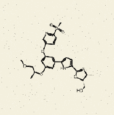 COCC(C)Oc1cc(Oc2ccc(S(C)(=O)=O)nc2)cc(-c2ccc(C3=N[C@H](C)[C@H](CO)O3)[nH]2)c1